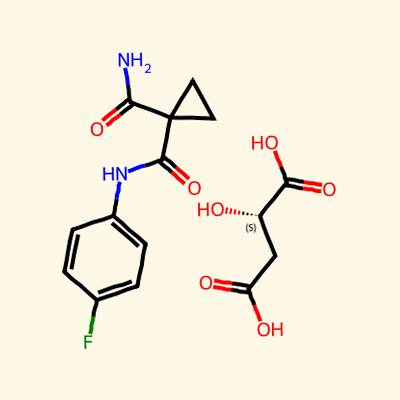 NC(=O)C1(C(=O)Nc2ccc(F)cc2)CC1.O=C(O)C[C@H](O)C(=O)O